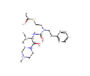 CC(=O)SCCN(CCc1ccccc1)C(=O)NC(C(=O)N1CCN(C)CC1)C(C)C